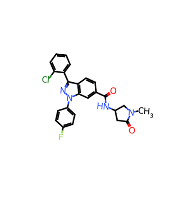 CN1CC(NC(=O)c2ccc3c(-c4ccccc4Cl)nn(-c4ccc(F)cc4)c3c2)CC1=O